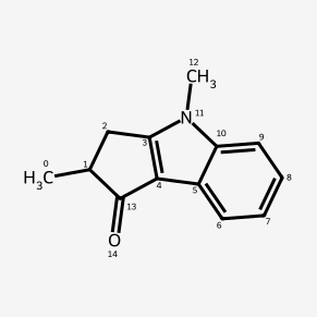 CC1Cc2c(c3ccccc3n2C)C1=O